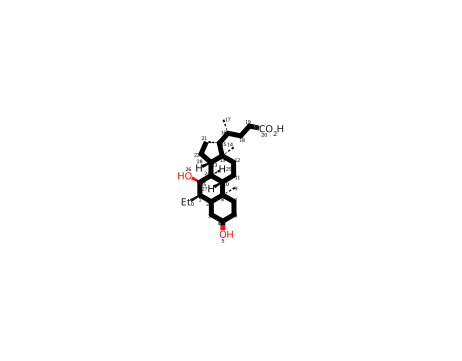 CC[C@@H]1C2CC(O)CC[C@]2(C)[C@H]2CC[C@]3(C)[C@@H]([C@H](C)CCC(=O)O)CC[C@H]3[C@@H]2[C@@H]1O